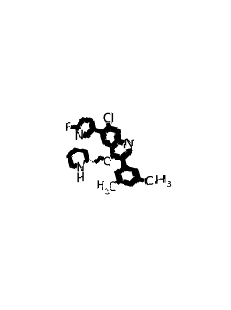 Cc1cc(C)cc(-c2cnc3cc(Cl)c(-c4ccc(F)nc4)cc3c2OCC[C@H]2CCCCN2)c1